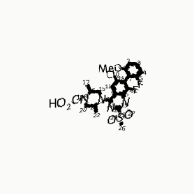 COc1cccc(F)c1-c1c(Cl)cc2c(N3CC(C)N(C(=O)O)CC3C)nc(S(C)(=O)=O)nc2c1F